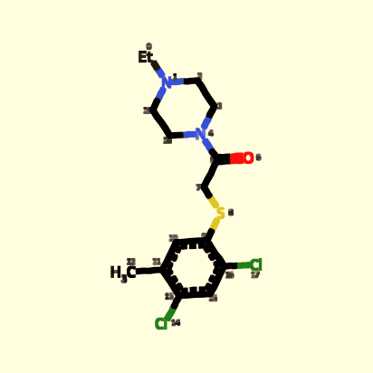 CCN1CCN(C(=O)CSc2cc(C)c(Cl)cc2Cl)CC1